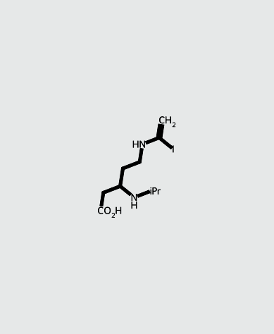 C=C(I)NCCC(CC(=O)O)NC(C)C